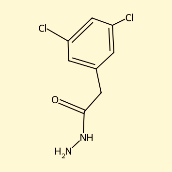 NNC(=O)Cc1cc(Cl)cc(Cl)c1